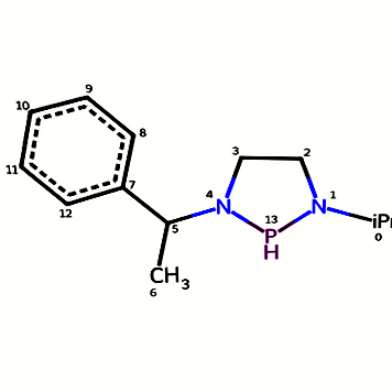 CC(C)N1CCN(C(C)c2ccccc2)P1